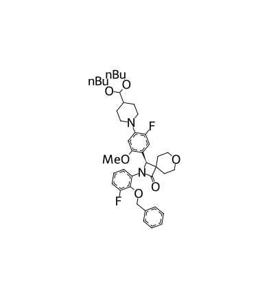 CCCCOC(OCCCC)C1CCN(c2cc(OC)c([C@@H]3N(c4cccc(F)c4OCc4ccccc4)C(=O)C34CCOCC4)cc2F)CC1